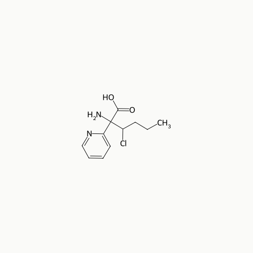 CCCC(Cl)C(N)(C(=O)O)c1ccccn1